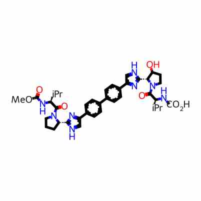 COC(=O)N[C@H](C(=O)N1CCC[C@H]1c1nc(-c2ccc(-c3ccc(-c4c[nH]c([C@@H]5C(O)CCN5C(=O)[C@@H](NC(=O)O)C(C)C)n4)cc3)cc2)c[nH]1)C(C)C